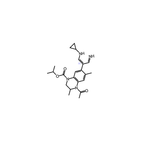 CC(=O)N1c2cc(C)c(/C(C=N)=C/NC3CC3)cc2N(C(=O)OC(C)C)CC1C